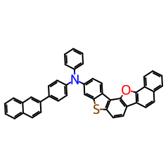 c1ccc(N(c2ccc(-c3ccc4ccccc4c3)cc2)c2ccc3c(c2)sc2ccc4c5ccc6ccccc6c5oc4c23)cc1